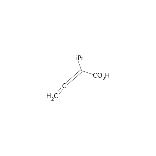 C=C=C(C(=O)O)C(C)C